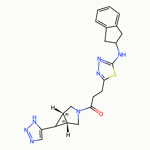 O=C(CCc1nnc(NC2Cc3ccccc3C2)s1)N1C[C@@H]2C(c3cnn[nH]3)[C@@H]2C1